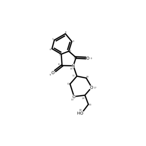 O=C1c2ccccc2C(=O)N1C1COC(CO)OC1